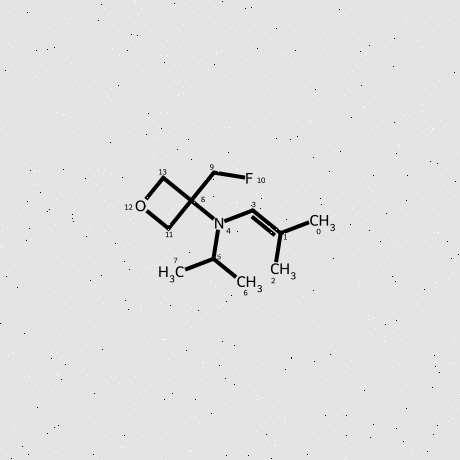 CC(C)=CN(C(C)C)C1(CF)COC1